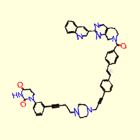 O=C1CCN(c2cccc(C#CCCN3CCN(CC#Cc4ccc(/C=C/c5ccc(C(=O)N6CCc7cnc(-c8cnc9ccccc9c8)nc7C6)cc5)cc4)CC3)c2)C(=O)N1